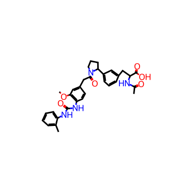 COc1cc(CC(=O)N2CCCC2c2cccc(CC(NC(C)=O)C(=O)O)c2)ccc1NC(=O)Nc1ccccc1C